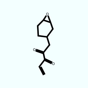 C=CC(=O)C(=O)CC1CCC2OC2C1